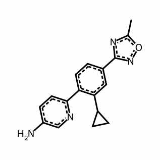 Cc1nc(-c2ccc(-c3ccc(N)cn3)c(C3CC3)c2)no1